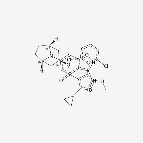 COC(=O)c1noc2cc(N3[C@@H]4CC[C@H]3C[C@H](OC(=O)c3c(-c5c(Cl)cccc5Cl)noc3C3CC3)C4)ccc12